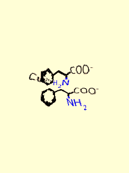 NC(Cc1ccccc1)C(=O)[O-].NC(Cc1ccccc1)C(=O)[O-].[Cu+2]